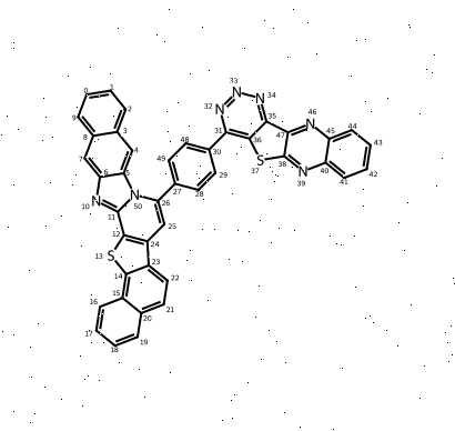 c1ccc2cc3c(cc2c1)nc1c2sc4c5ccccc5ccc4c2cc(-c2ccc(-c4nnnc5c4sc4nc6ccccc6nc45)cc2)n31